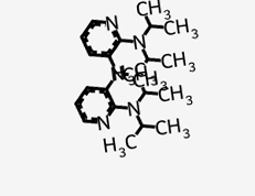 CC(C)N(c1ncccc1N(C)c1cccnc1N(C(C)C)C(C)C)C(C)C